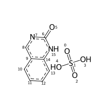 O=S(=O)(O)O.O=c1ncc2ccccc2[nH]1